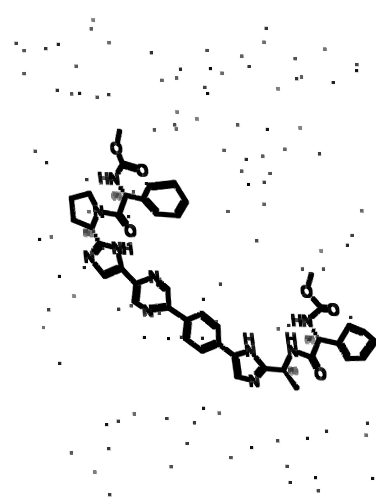 COC(=O)N[C@@H](C(=O)N[C@@H](C)c1ncc(-c2ccc(-c3cnc(-c4cnc([C@@H]5CCCN5C(=O)[C@H](NC(=O)OC)c5ccccc5)[nH]4)cn3)cc2)[nH]1)c1ccccc1